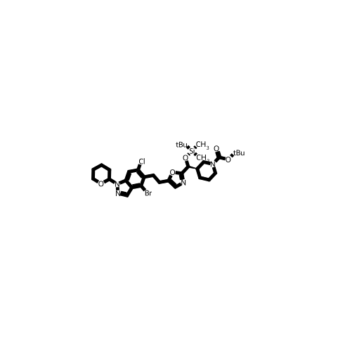 CC(C)(C)OC(=O)N1CCC[C@@H](C(O[Si](C)(C)C(C)(C)C)c2ncc(CCc3c(Cl)cc4c(cnn4C4CCCCO4)c3Br)o2)C1